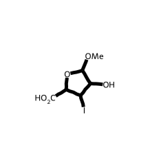 COC1OC(C(=O)O)C(I)C1O